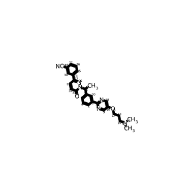 CC(c1cccc(-c2ncc(OCCCN(C)C)cn2)c1)n1nc(-c2cccc(C#N)c2)ccc1=O